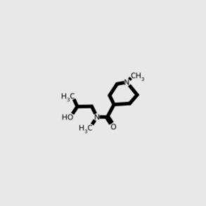 CC(O)CN(C)C(=O)C1CCN(C)CC1